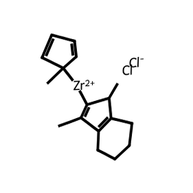 CC1=[C]([Zr+2][C]2(C)C=CC=C2)C(C)C2=C1CCCC2.[Cl-].[Cl-]